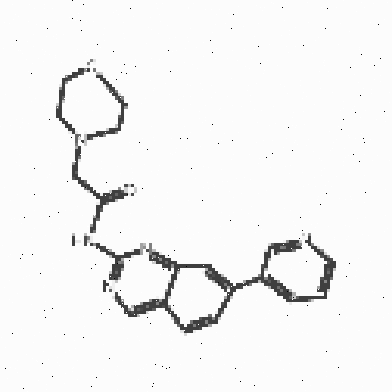 O=C(CN1CCOCC1)Nc1ncc2ccc(-c3cccnc3)cc2n1